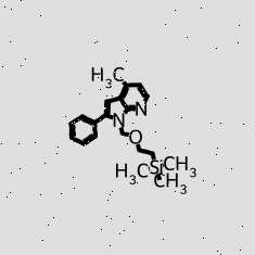 Cc1ccnc2c1cc(-c1ccccc1)n2COCC[Si](C)(C)C